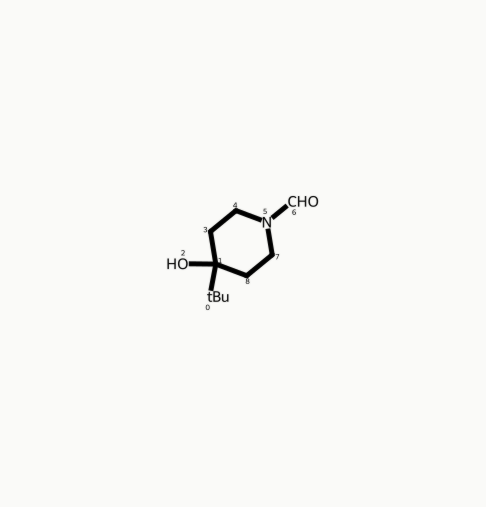 CC(C)(C)C1(O)CCN(C=O)CC1